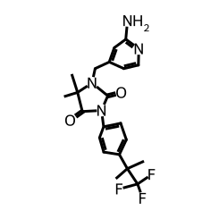 CC1(C)C(=O)N(c2ccc(C(C)(C)C(F)(F)F)cc2)C(=O)N1Cc1ccnc(N)c1